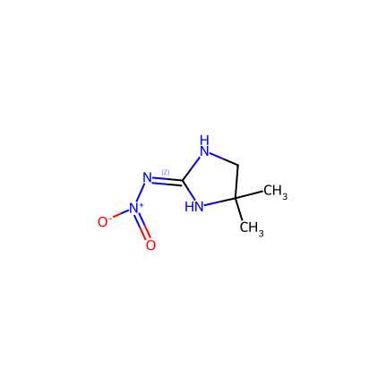 CC1(C)CN/C(=N/[N+](=O)[O-])N1